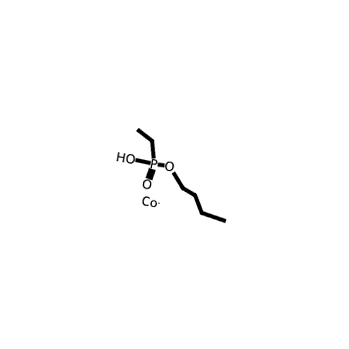 CCCCOP(=O)(O)CC.[Co]